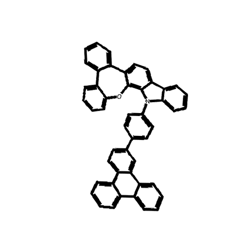 c1ccc2c(c1)Oc1c(ccc3c4ccccc4n(-c4ccc(-c5ccc6c7ccccc7c7ccccc7c6c5)cc4)c13)-c1ccccc1-2